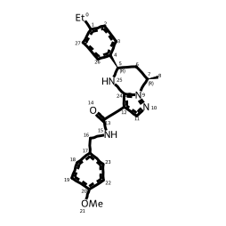 CCc1ccc([C@H]2C[C@@H](C)n3ncc(C(=O)NCc4ccc(OC)cc4)c3N2)cc1